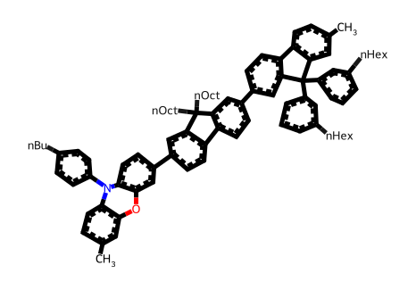 CCCCCCCCC1(CCCCCCCC)c2cc(-c3ccc4c(c3)Oc3cc(C)ccc3N4c3ccc(CCCC)cc3)ccc2-c2ccc(-c3ccc4c(c3)C(c3cccc(CCCCCC)c3)(c3cccc(CCCCCC)c3)c3cc(C)ccc3-4)cc21